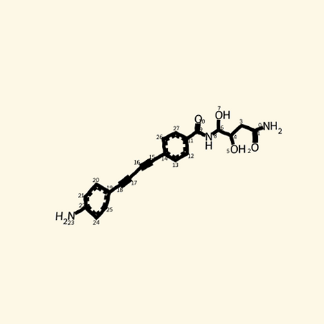 NC(=O)CC(O)C(O)NC(=O)c1ccc(C#CC#Cc2ccc(N)cc2)cc1